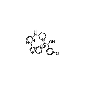 O=C(C(O)c1cccc(Cl)c1)N1CCCC(Nc2ccnc(-c3cnc4ccc(F)cn34)n2)C1